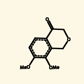 COc1ccc2c(c1OC)COCC2=O